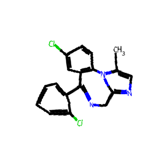 Cc1cnc2n1-c1ccc(Cl)cc1C(c1ccccc1Cl)=NC2